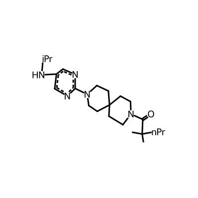 CCCC(C)(C)C(=O)N1CCC2(CC1)CCN(c1ncc(NC(C)C)cn1)CC2